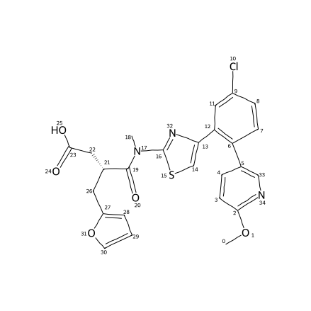 COc1ccc(-c2ccc(Cl)cc2-c2csc(N(C)C(=O)[C@@H](CC(=O)O)Cc3ccco3)n2)cn1